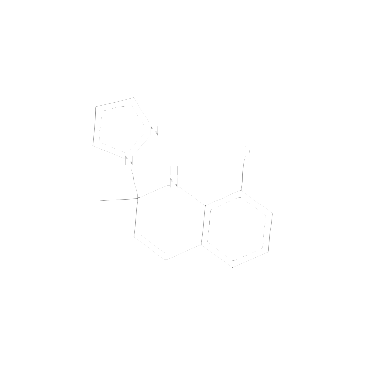 CC1(n2cccn2)C=Cc2cccc(O)c2N1